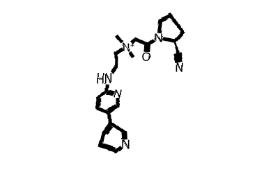 C[N+](C)(CCNc1ccc(-c2cccnc2)cn1)CC(=O)N1CCC[C@H]1C#N